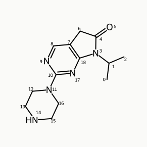 CC(C)N1C(=O)Cc2cnc(N3CCNCC3)nc21